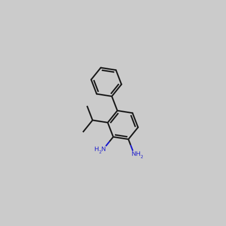 CC(C)c1c(-c2ccccc2)ccc(N)c1N